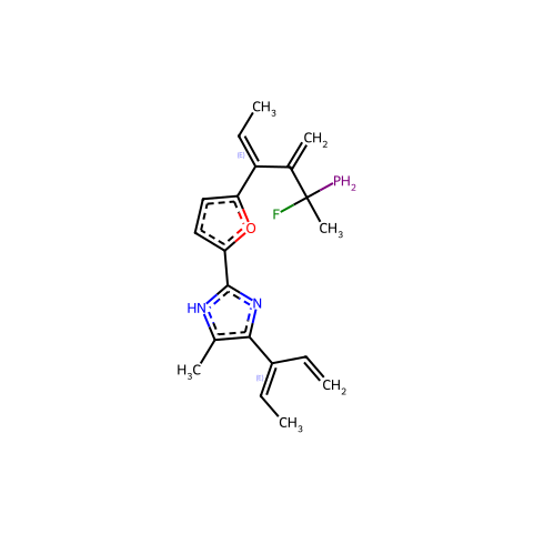 C=C/C(=C\C)c1nc(-c2ccc(/C(=C/C)C(=C)C(C)(F)P)o2)[nH]c1C